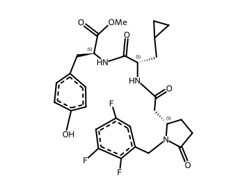 COC(=O)[C@H](Cc1ccc(O)cc1)NC(=O)[C@H](CC1CC1)NC(=O)C[C@@H]1CCC(=O)N1Cc1cc(F)cc(F)c1F